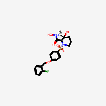 C[C@@]1(O)CCCN(S(=O)(=O)c2ccc(OCc3ccccc3F)cc2)C1C(=O)NO